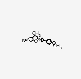 COc1ccc(C2CN(C(=O)CC(C)C3CCN(C#N)C3)C2)cc1